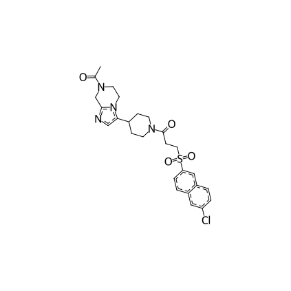 CC(=O)N1CCn2c(C3CCN(C(=O)CCS(=O)(=O)c4ccc5cc(Cl)ccc5c4)CC3)cnc2C1